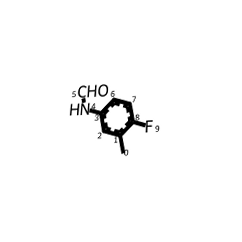 Cc1cc(NC=O)ccc1F